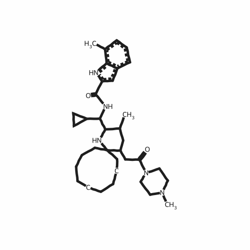 Cc1cccc2cc(C(=O)NC(C3CC3)C3NC4(CCCCCCCCC4)C(CC(=O)N4CCN(C)CC4)CC3C)[nH]c12